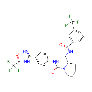 N=C(NC(=O)C(F)(F)F)c1ccc(NC(=O)N2CCCCC2CNC(=O)c2cccc(C(F)(F)F)c2)cc1